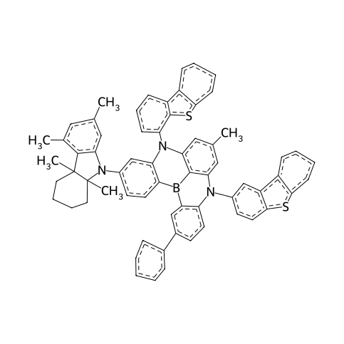 Cc1cc2c3c(c1)N(c1cccc4c1sc1ccccc14)c1cc(N4c5cc(C)cc(C)c5C5(C)CCCCC45C)ccc1B3c1cc(-c3ccccc3)ccc1N2c1ccc2sc3ccccc3c2c1